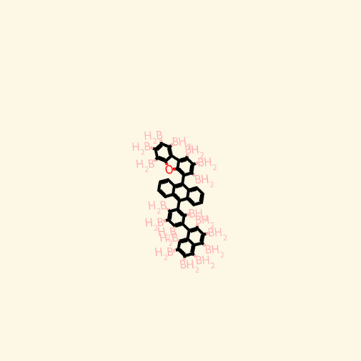 Bc1c(B)c(-c2c3ccccc3c(-c3c(B)c(B)c(B)c4c3oc3c(B)c(B)c(B)c(B)c34)c3ccccc23)c(B)c(-c2c(B)c(B)c(B)c3c(B)c(B)c(B)c(B)c23)c1B